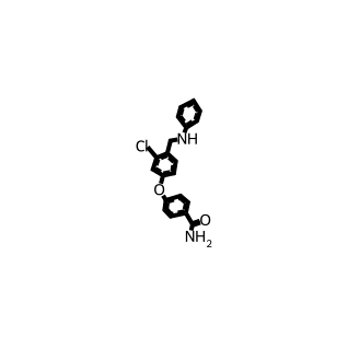 NC(=O)c1ccc(Oc2ccc(CNc3ccccc3)c(Cl)c2)cc1